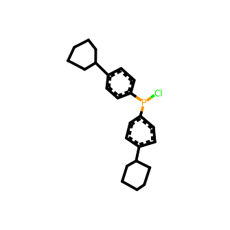 ClP(c1ccc(C2CCCCC2)cc1)c1ccc(C2CCCCC2)cc1